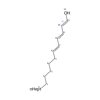 CCCCCCCCCCCCC=CC=C/C=C/O